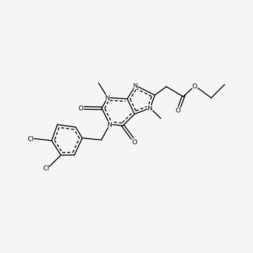 CCOC(=O)Cc1nc2c(c(=O)n(Cc3ccc(Cl)c(Cl)c3)c(=O)n2C)n1C